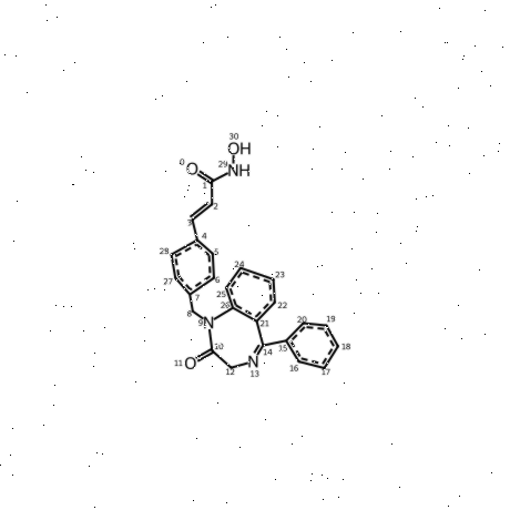 O=C(C=Cc1ccc(CN2C(=O)CN=C(c3ccccc3)c3ccccc32)cc1)NO